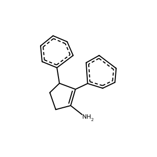 NC1=C(c2ccccc2)C(c2ccccc2)CC1